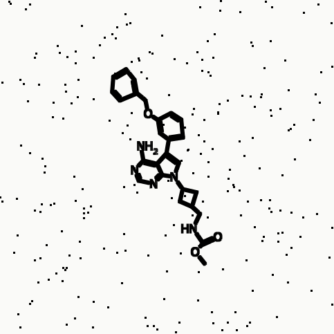 COC(=O)NCC1CC(n2cc(-c3cccc(OCc4ccccc4)c3)c3c(N)ncnc32)C1